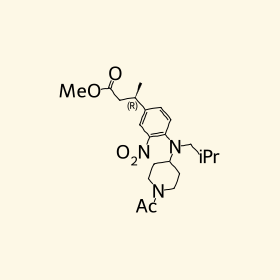 COC(=O)C[C@@H](C)c1ccc(N(CC(C)C)C2CCN(C(C)=O)CC2)c([N+](=O)[O-])c1